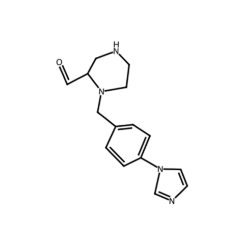 O=CC1CNCCN1Cc1ccc(-n2ccnc2)cc1